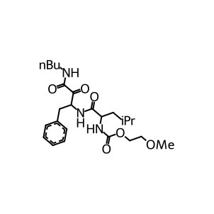 CCCCNC(=O)C(=O)C(Cc1ccccc1)NC(=O)C(CC(C)C)NC(=O)OCCOC